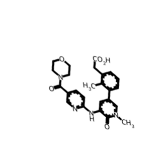 Cc1c(CC(=O)O)cccc1-c1cc(Nc2ccc(C(=O)N3CCOCC3)cn2)c(=O)n(C)c1